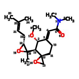 CO[C@@H]1C(=CC(=O)N(C)C)CC[C@]2(CO2)[C@H]1C1(C)O[C@@H]1CC=C(C)C